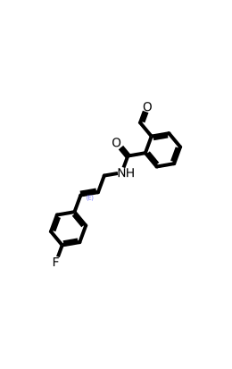 O=Cc1ccccc1C(=O)NC/C=C/c1ccc(F)cc1